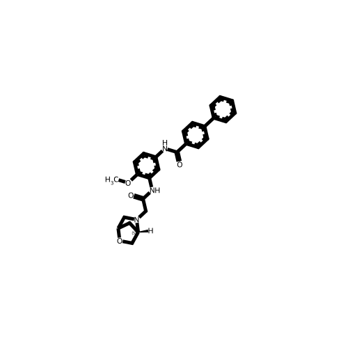 COc1ccc(NC(=O)c2ccc(-c3ccccc3)cc2)cc1NC(=O)CN1CC2C[C@H]1CO2